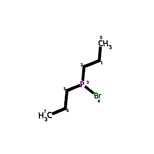 CCCP(Br)CCC